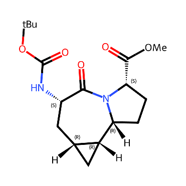 COC(=O)[C@@H]1CC[C@@H]2[C@@H]3C[C@@H]3C[C@H](NC(=O)OC(C)(C)C)C(=O)N21